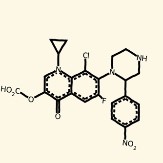 O=C(O)Oc1cn(C2CC2)c2c(Cl)c(N3CCNCC3c3ccc([N+](=O)[O-])cc3)c(F)cc2c1=O